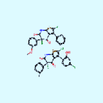 COc1cccc(C2(F)C(=O)Nc3sc(F)c(-c4ccccc4)c3C2=O)c1.Cc1cccc(C2(F)C(=O)Nc3sc(Cl)c(-c4ccc(F)cc4O)c3C2=O)c1